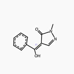 CN1N=C/C(=C(\O)c2ccccc2)C1=O